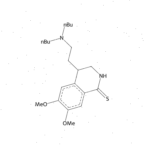 CCCCN(CCCC)CCC1CNC(=S)c2cc(OC)c(OC)cc21